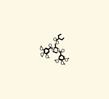 CCC(CC)C(=O)OCC1CN(C(=O)c2cc(OC)c(OC)c(OC)c2)CCN1C(=O)c1cc(OC)c(OC)c(OC)c1